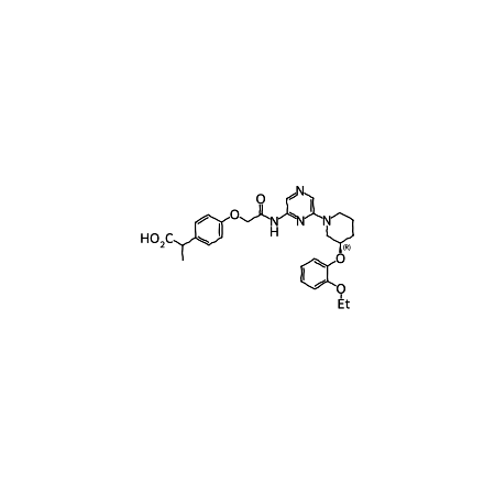 CCOc1ccccc1O[C@@H]1CCCN(c2cncc(NC(=O)COc3ccc(C(C)C(=O)O)cc3)n2)C1